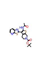 CC(=O)Nc1sc2c(c1-c1nc3cccnc3s1)CCN(C(=O)OC(C)(C)C)C2